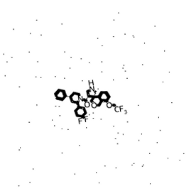 O=C([C@@H]1CNC[C@]12COCc1c(OCC(F)(F)F)cccc12)N1CC[C@@H](c2ccccc2)CC1C1CCC(F)(F)CC1